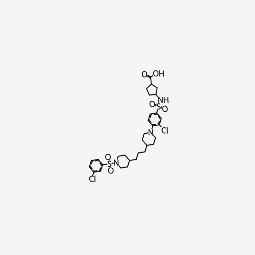 O=C(O)C1CCC(NS(=O)(=O)c2ccc(N3CCC(CCCC4CCN(S(=O)(=O)c5cccc(Cl)c5)CC4)CC3)c(Cl)c2)C1